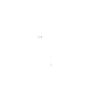 CSSC(C)OC(C)C